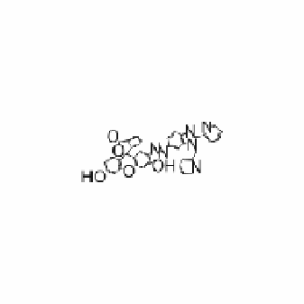 O=C1OC2(c3ccc(O)cc3Oc3cc(O)c(/N=N/c4ccc5nc(-c6ccccn6)n(Cc6ccccn6)c5c4)cc32)c2ccccc21